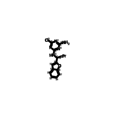 CCCC(Nc1nc(N)nc(Cl)n1)c1cc2ccccc2o1